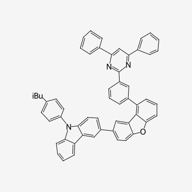 CCC(C)c1ccc(-n2c3ccccc3c3cc(-c4ccc5oc6cccc(-c7cccc(-c8nc(-c9ccccc9)cc(-c9ccccc9)n8)c7)c6c5c4)ccc32)cc1